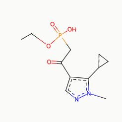 CCOP(=O)(O)CC(=O)c1cnn(C)c1C1CC1